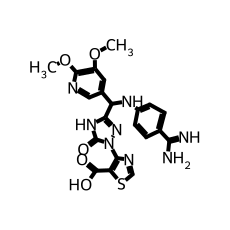 COc1cc(C(Nc2ccc(C(=N)N)cc2)c2nn(-c3ncsc3C(=O)O)c(=O)[nH]2)cnc1OC